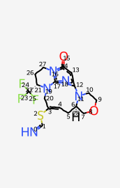 N=CS/C1=C\C[C@@H]2COCCN2c2cc(=O)n3c(n2)N(C1)[C@H](C(F)(F)F)CC3